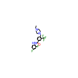 CCN1CCN(Cc2ccc(C(=O)Nc3ccc(F)cc3F)cc2C(F)(F)F)CC1